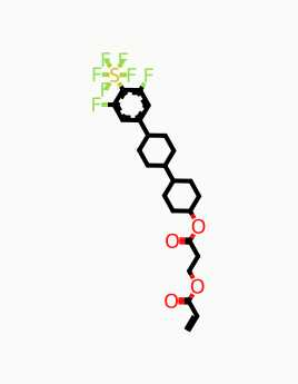 C=CC(=O)OCCC(=O)OC1CCC(C2CCC(c3cc(F)c(S(F)(F)(F)(F)F)c(F)c3)CC2)CC1